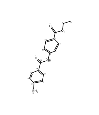 CCOC(=O)c1ccc(NC(=O)c2ccc(N)cc2)cc1